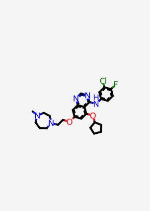 CN1CCCN(CCOc2cc(OC3CCCC3)c3c(Nc4ccc(F)c(Cl)c4)ncnc3c2)CC1